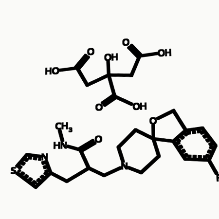 CNC(=O)C(Cc1cscn1)CN1CCC2(CC1)OCc1ccc(F)cc12.O=C(O)CC(O)(CC(=O)O)C(=O)O